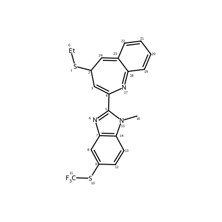 CCSC1C=C(c2nc3cc(SC(F)(F)F)ccc3n2C)N=c2ccccc2=C1